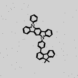 CC1(C)c2ccccc2-c2c(-c3ccc(-n4c5ccccc5c5cc6c(cc54)c4ccccc4n6-c4ccccc4)cc3)cccc21